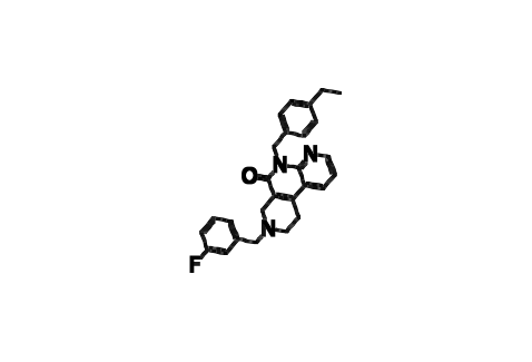 CCc1ccc(Cn2c(=O)c3c(c4cccnc42)CCN(Cc2cccc(F)c2)C3)cc1